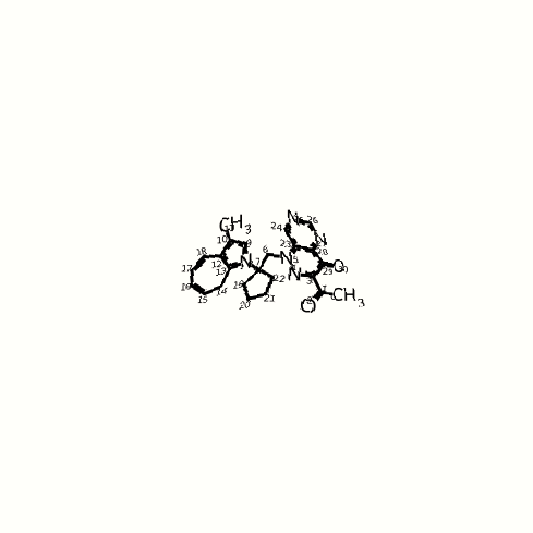 CC(=O)c1nn(CC2(n3cc(C)c4c3CC=CC=C4)CCCC2)c2cncnc2c1=O